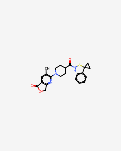 N#Cc1cc2c(nc1N1CCC(C(=O)NSC3(c4ccccc4)CC3)CC1)COC2=O